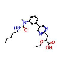 CCCCCNC(=O)N(C)c1cccc(-c2cnc(CC(OCC)C(=O)O)nc2)c1